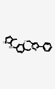 Cc1cc[nH]c1Nc1ccc2c(c1)OCc1cc(-c3ccccc3)nn1C2